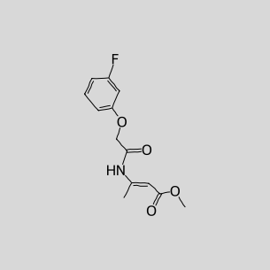 COC(=O)C=C(C)NC(=O)COc1cccc(F)c1